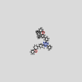 CC1C=C(C2=CC=Cc3c(oc4ccccc34)C2)C=CC1c1nc(-c2ccccc2)nc(-c2cccc(-c3ccc4c(c3)Oc3ccccc3C43c4ccccc4-c4ccccc43)c2)n1